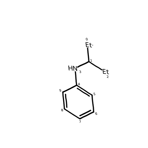 C[CH]C(CC)Nc1ccccc1